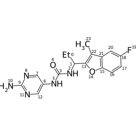 CCC(NC(=O)Nc1cnc(N)nc1)c1oc2ccc(F)cc2c1C